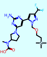 CN(C(=O)O)C1CCN(c2cc(-c3cc(C(F)F)nn3COCC[Si](C)(C)C)nc(N)n2)C1